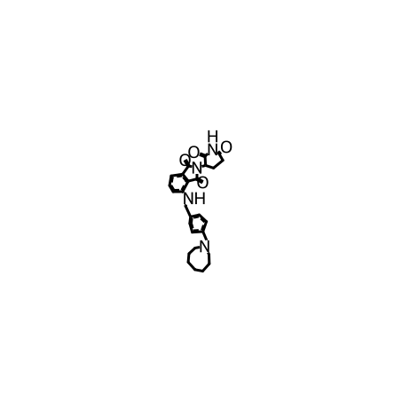 O=C1CCC(N2C(=O)c3cccc(NCc4ccc(CN5CCCCCCC5)cc4)c3C2=O)C(=O)N1